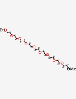 CCOCCOCCOCCOCCOCCOCCOCCOCCOCCOC